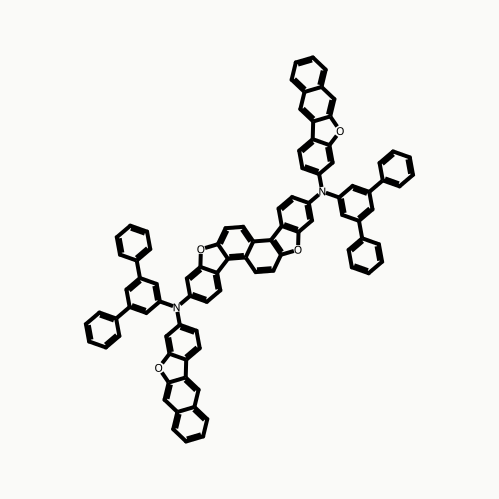 c1ccc(-c2cc(-c3ccccc3)cc(N(c3ccc4c(c3)oc3cc5ccccc5cc34)c3ccc4c(c3)oc3ccc5c(ccc6oc7cc(N(c8cc(-c9ccccc9)cc(-c9ccccc9)c8)c8ccc9c(c8)oc8cc%10ccccc%10cc89)ccc7c65)c34)c2)cc1